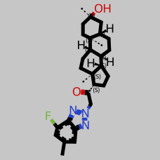 Cc1cc(F)c2nn(CC(=O)[C@H]3CC[C@H]4[C@@H]5CC[C@H]6C[C@](C)(O)CC[C@]6(C)[C@H]5CC[C@]34C)nc2c1